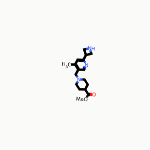 COC(=O)C1CCN(Cc2cnc(C3CNC3)cc2C)CC1